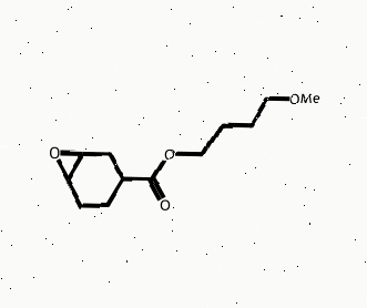 COCCCCOC(=O)C1CCC2OC2C1